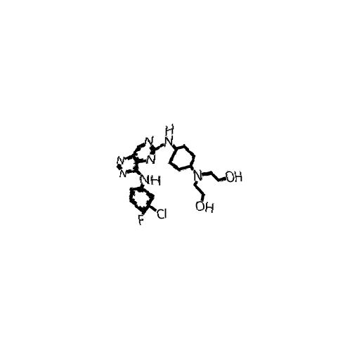 OCCN(CCO)C1CCC(Nc2ncc3ncnc(Nc4ccc(F)c(Cl)c4)c3n2)CC1